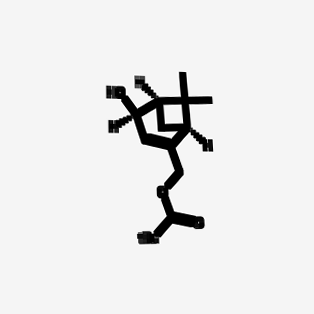 CC(C)(C)C(=O)OCC1=C[C@@H](O)[C@@H]2C[C@H]1C2(C)C